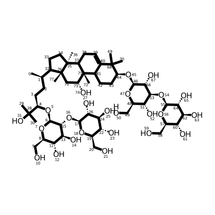 C[C@H](CC[C@@H](O[C@@H]1O[C@H](CO)[C@@H](O)[C@H](O)[C@H]1O[C@@H]1O[C@H](CO)[C@@H](O)[C@H](O)[C@H]1O)C(C)(C)O)C1CC[C@@]2(C)C3CC=C4C(CC[C@H](O[C@@H]5O[C@H](CO)[C@@H](O)[C@H](O[C@@H]6O[C@H](CO)[C@@H](O)[C@H](O)[C@H]6O)[C@H]5O)C4(C)C)[C@]3(C)[C@H](O)C[C@]12C